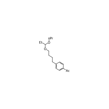 CCCOC(CC)OCCCCc1ccc(C(C)=O)cc1